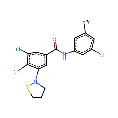 CCCc1cc(Cl)cc(NC(=O)c2cc(Cl)c(Cl)c(N3CCCS3)c2)c1